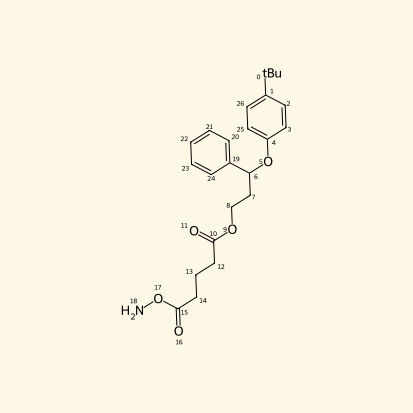 CC(C)(C)c1ccc(OC(CCOC(=O)CCCC(=O)ON)c2ccccc2)cc1